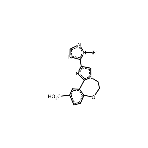 CC(C)n1ncnc1-c1cn2c(n1)-c1cc(C(=O)O)ccc1OCC2